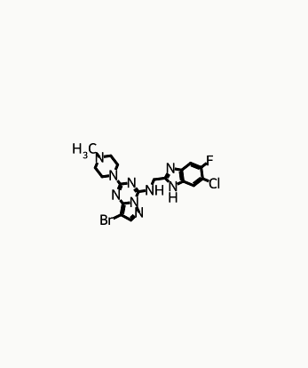 CN1CCN(c2nc(NCc3nc4cc(F)c(Cl)cc4[nH]3)n3ncc(Br)c3n2)CC1